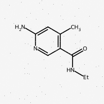 CCNC(=O)c1cnc(N)cc1C